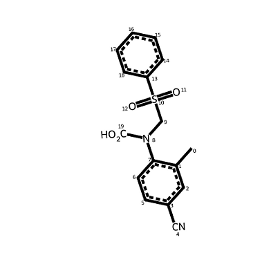 Cc1cc(C#N)ccc1N(CS(=O)(=O)c1ccccc1)C(=O)O